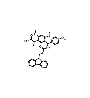 COc1ccc(C(NC(=O)OCC2c3ccccc3-c3ccccc32)c2cc(C(C)C(=O)O)c(OC)cc2OC)cc1